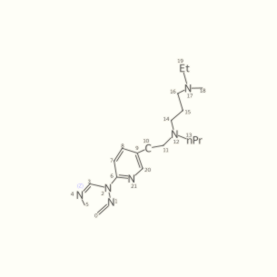 C=NN(/C=N\C)c1ccc(CCN(CCC)CCCN(C)CC)cn1